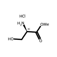 COC(=O)[C@H](N)CO.Cl